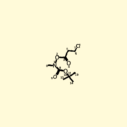 CN(OC(=O)CCCl)C(=O)OC(C)(C)C